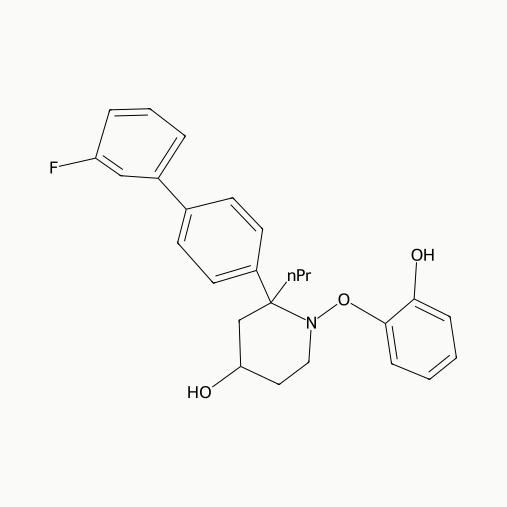 CCCC1(c2ccc(-c3cccc(F)c3)cc2)CC(O)CCN1Oc1ccccc1O